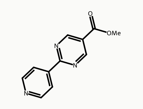 COC(=O)c1cnc(-c2ccncc2)nc1